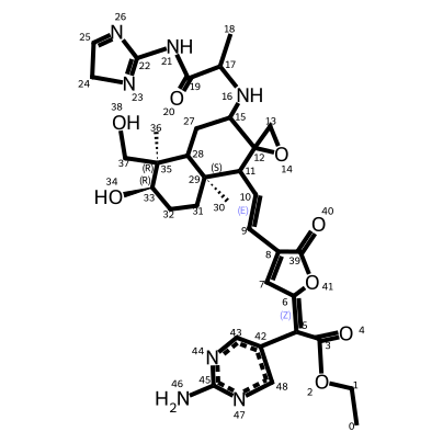 CCOC(=O)/C(=C1C=C(/C=C/C2C3(CO3)C(NC(C)C(=O)NC3=NCC=N3)CC3[C@]2(C)CC[C@@H](O)[C@@]3(C)CO)C(=O)O/1)c1cnc(N)nc1